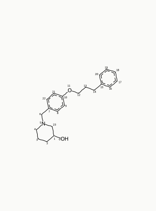 OC1CCCN(Cc2ccc(OCCCc3ccccc3)cc2)C1